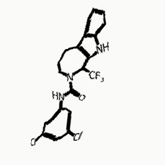 O=C(Nc1cc(Cl)cc(Cl)c1)N1CCCc2c([nH]c3ccccc23)C1C(F)(F)F